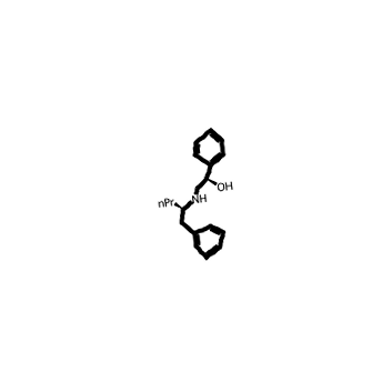 CCC[C@H](Cc1ccccc1)NC[C@H](O)c1ccccc1